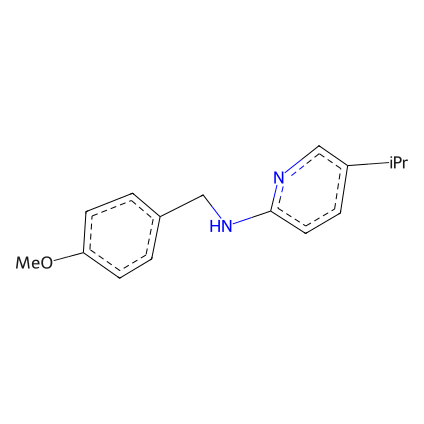 COc1ccc(CNc2ccc(C(C)C)cn2)cc1